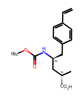 C=Cc1ccc(C[C@@H](C[C@H](C)C(=O)O)NC(=O)OC(C)(C)C)cc1